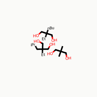 CC(C)(CO)CO.CCC(CO)(CO)CC(C)C.CCCCC(CC)(CO)CO